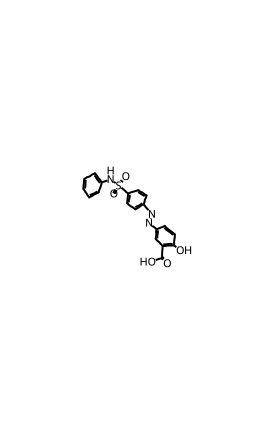 O=C(O)c1cc(N=Nc2ccc(S(=O)(=O)Nc3ccccc3)cc2)ccc1O